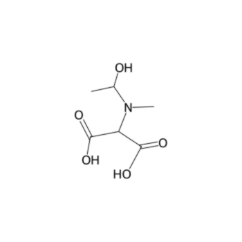 CC(O)N(C)C(C(=O)O)C(=O)O